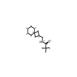 CC(C)(C)C(=O)NCC1CC2(CCCCC2)C1